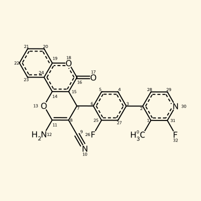 Cc1c(-c2ccc(C3C(C#N)=C(N)Oc4c3c(=O)oc3ccccc43)c(F)c2)ccnc1F